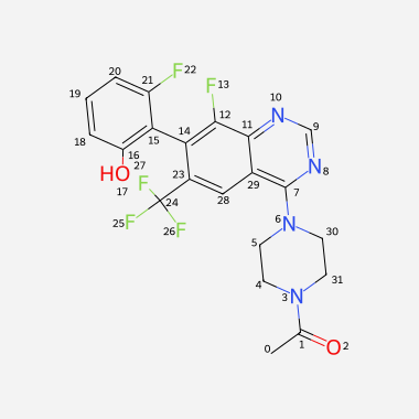 CC(=O)N1CCN(c2ncnc3c(F)c(-c4c(O)cccc4F)c(C(F)(F)F)cc23)CC1